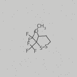 COC1CCSSC1(C(F)(F)F)C(F)(F)F